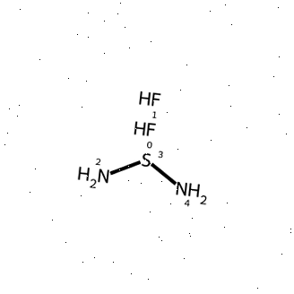 F.F.NSN